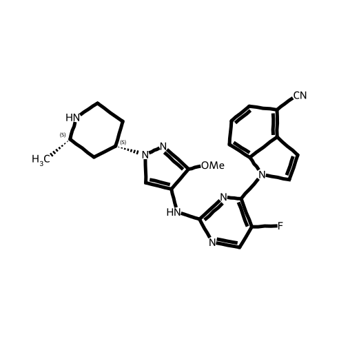 COc1nn([C@H]2CCN[C@@H](C)C2)cc1Nc1ncc(F)c(-n2ccc3c(C#N)cccc32)n1